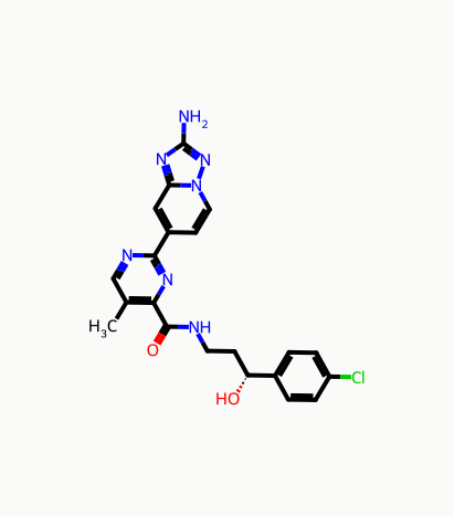 Cc1cnc(-c2ccn3nc(N)nc3c2)nc1C(=O)NCC[C@@H](O)c1ccc(Cl)cc1